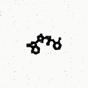 O=C(Cc1ccccc1F)Nc1nc(-c2c[nH]c3ncccc23)cs1